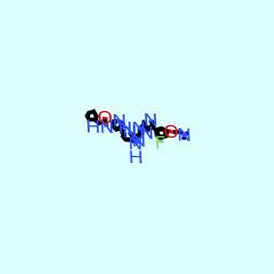 CN(C)CCOc1cc(F)cc(-c2cncc3[nH]c(-c4n[nH]c5ccc(-c6cncc(NC(=O)CC7CCCCC7)c6)nc45)nc23)c1